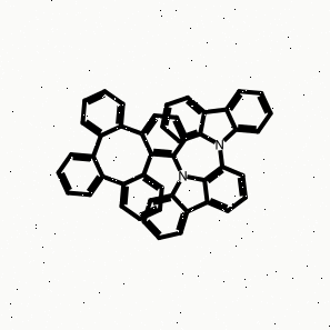 c1ccc2c(c1)-c1ccccc1-c1cccc(-n3c4ccccc4c4cccc(-n5c6ccccc6c6ccccc65)c43)c1-c1ccccc1-2